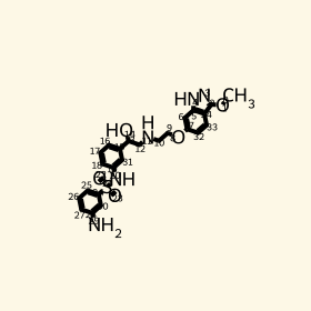 COc1n[nH]c2cc(OCCNCC(O)c3cccc(NS(=O)(=O)c4cccc(N)c4)c3)ccc12